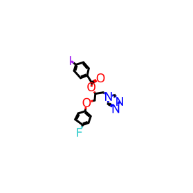 O=C(OC(COc1ccc(F)cc1)Cn1cnnc1)c1ccc(I)cc1